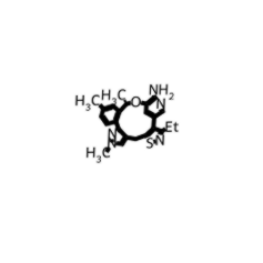 CCc1nsc2c1-c1cnc(N)c(c1)O[C@H](C)c1cc(C)ccc1-c1nn(C)cc1C2